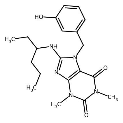 CCCC(CC)Nc1nc2c(c(=O)n(C)c(=O)n2C)n1Cc1cccc(O)c1